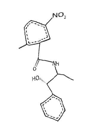 Cc1ccc([N+](=O)[O-])cc1C(=O)NC(C)[C@@H](O)c1ccccc1